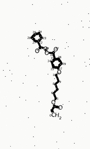 C=CC(=O)OCCCCCCOc1ccc(C(=O)OOC(=O)c2ccccc2)cc1